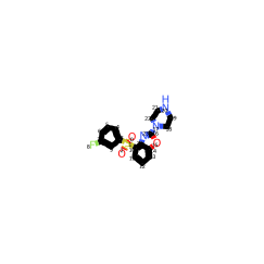 O=S(=O)(c1cccc(F)c1)c1cccc2oc(N3CCNCC3)nc12